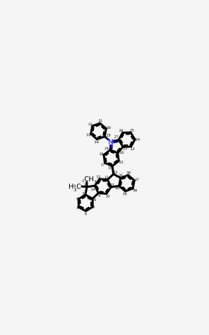 CC1(C)c2ccccc2-c2cc3c(cc21)C(c1ccc2c(c1)c1ccccc1n2-c1ccccc1)c1ccccc1-3